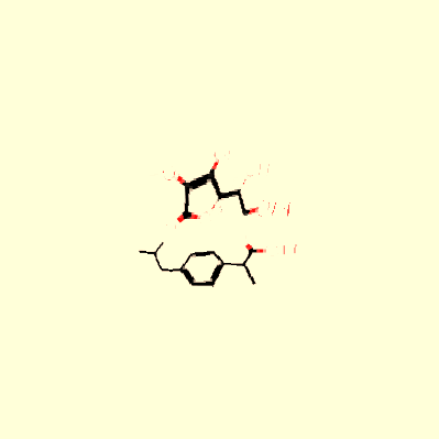 CC(C)Cc1ccc(C(C)C(=O)O)cc1.O=C1O[C@H]([C@@H](O)CO)C(O)=C1O